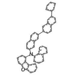 c1ccc(-c2ccc3ccc(-c4ccc5ccc(N(c6cccc7ccccc67)c6cccc7oc8ccccc8c67)cc5c4)cc3c2)cc1